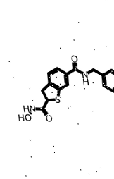 O=C(NCc1ccccc1)c1ccc2c(c1)SC(C(=O)NO)C2